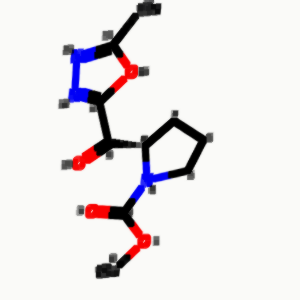 CC(C)(C)OC(=O)N1CCC[C@H]1C(=O)c1nnc(C(C)(C)C)o1